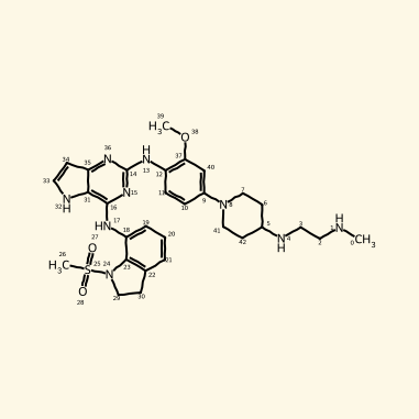 CNCCNC1CCN(c2ccc(Nc3nc(Nc4cccc5c4N(S(C)(=O)=O)CC5)c4[nH]ccc4n3)c(OC)c2)CC1